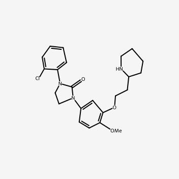 COc1ccc(N2CCN(c3ccccc3Cl)C2=O)cc1OCCC1CCCCN1